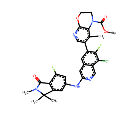 Cc1c(-c2cc3cc(Nc4cc(F)c5c(c4)C(C)(C)N(C)C5=O)ncc3c(Cl)c2F)cnc2c1N(C(=O)OC(C)(C)C)CCO2